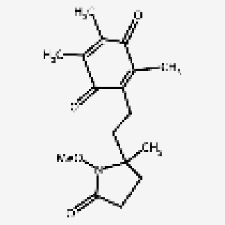 CON1C(=O)CCC1(C)CCC1=C(C)C(=O)C(C)=C(C)C1=O